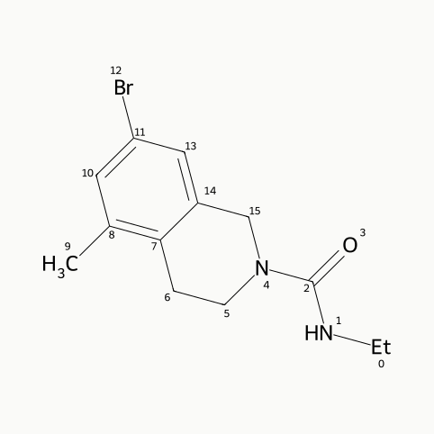 CCNC(=O)N1CCc2c(C)cc(Br)cc2C1